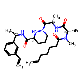 C=CCCCCC(=O)N(C)[C@H](C(=O)N[C@@H](C)C(=O)N1CCC[C@@H](C(=O)N[C@H](C)c2cccc(C=C)c2)N1)C(C)C